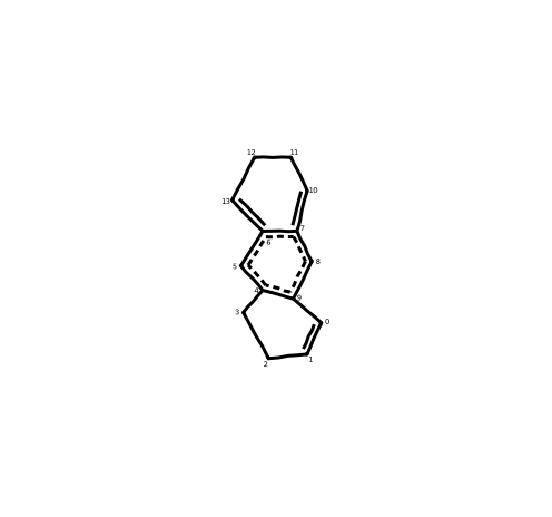 [C]1=CCCc2cc3c(cc21)=CCCC=3